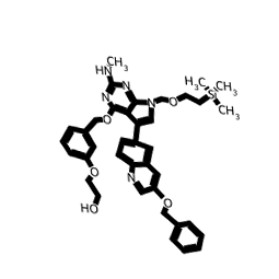 CNc1nc(OCc2cccc(OCCO)c2)c2c(-c3ccc4ncc(OCc5ccccc5)cc4c3)cn(COCC[Si](C)(C)C)c2n1